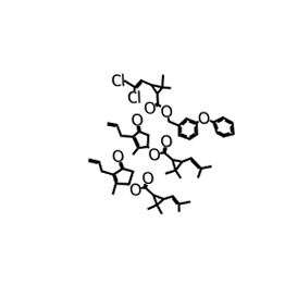 C=CCC1=C(C)C(OC(=O)C2C(C=C(C)C)C2(C)C)CC1=O.C=CCC1=C(C)C(OC(=O)C2C(C=C(C)C)C2(C)C)CC1=O.CC1(C)C(C=C(Cl)Cl)C1C(=O)OCc1cccc(Oc2ccccc2)c1